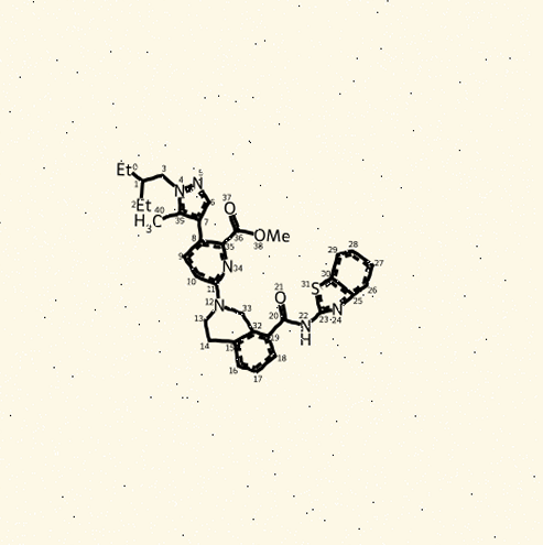 CCC(CC)Cn1ncc(-c2ccc(N3CCc4cccc(C(=O)Nc5nc6ccccc6s5)c4C3)nc2C(=O)OC)c1C